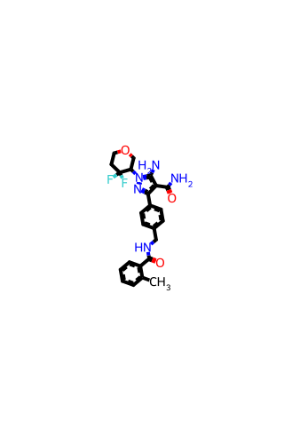 Cc1ccccc1C(=O)NCc1ccc(-c2nn(C3COCCC3(F)F)c(N)c2C(N)=O)cc1